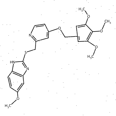 COc1ccc2[nH]c(SCc3cc(OCc4cc(OC)c(OC)c(OC)c4)ccn3)nc2c1